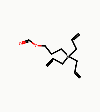 C=CC[Si](CC=C)(CC=C)CCCOC=O